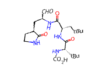 CC(C)(C)C[C@H](NC(=O)[C@@H](NC(=O)O)C(C)(C)C)C(=O)N[C@H](C=O)C[C@@H]1CCNC1=O